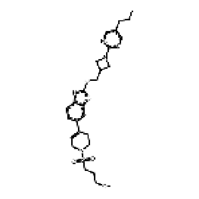 CCCc1cnc(N2CC(COc3nc4ccc(C5=CCN(S(=O)(=O)CCCO)CC5)cc4s3)C2)nc1